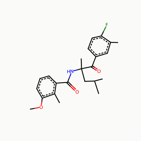 COc1cccc(C(=O)NC(C)(CC(C)C)C(=O)c2ccc(F)c(C)c2)c1C